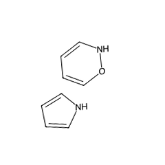 C1=CNOC=C1.c1cc[nH]c1